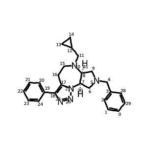 c1ccc(CN2C[C@@H]3[C@H](C2)N(CC2CC2)CCc2c(-c4ccccc4)nnn23)cc1